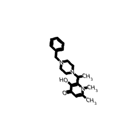 Cc1cc(=O)c(O)c(C(C)N2CCN(Cc3ccccc3)CC2)n1C